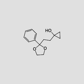 OC1(CCC2(c3ccccc3)OCCO2)CC1